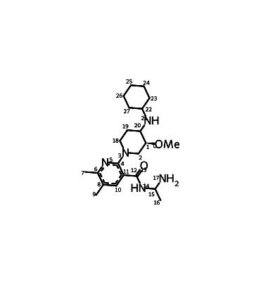 CO[C@H]1CN(c2nc(C)c(C)cc2C(=O)NC(C)N)CCC1NC1CCCCC1